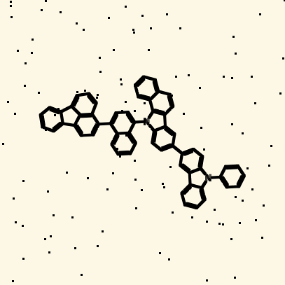 c1ccc(-n2c3ccccc3c3cc(-c4ccc5c(c4)c4ccc6ccccc6c4n5-c4ccc(-c5ccc6c7c(cccc57)-c5ccccc5-6)c5ccccc45)ccc32)cc1